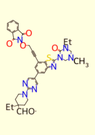 CCN1CN(C)CN(c2nc3cc(-c4cnc(N5CCC([C]=O)(CC)CC5)nc4)cc(C#CCON4C(=O)c5ccccc5C4=O)c3s2)C1=O